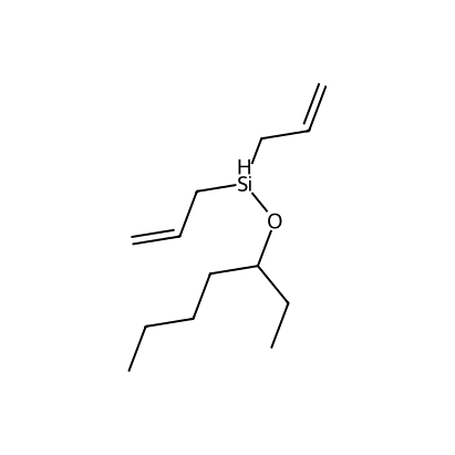 C=CC[SiH](CC=C)OC(CC)CCCC